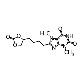 Cn1c(CCCCC2COC(=O)O2)nc2c1c(=O)[nH]c(=O)n2C